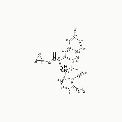 CC(Nc1ncnc(N)c1C#N)c1nc2ccc(F)cc2cc1C(=O)NCC1CC1